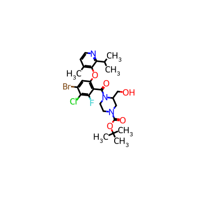 Cc1ccnc(C(C)C)c1Oc1cc(Br)c(Cl)c(F)c1C(=O)N1CCN(C(=O)OC(C)(C)C)CC1CO